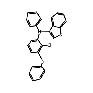 Clc1c(Nc2ccccc2)cccc1N(c1ccccc1)c1csc2ccccc12